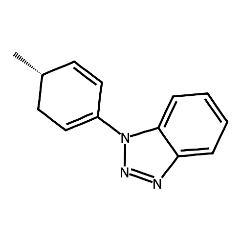 C[C@@H]1C=CC(n2nnc3ccccc32)=CC1